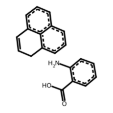 C1=Cc2cccc3cccc(c23)C1.Nc1ccccc1C(=O)O